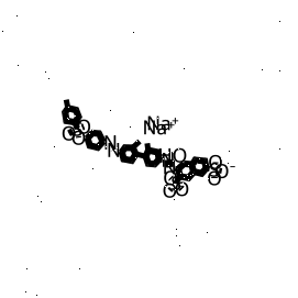 Cc1ccc(S(=O)(=O)Oc2ccc(N=Nc3ccc(-c4ccc(N=Nc5c(S(=O)(=O)[O-])cc6cc(S(=O)(=O)[O-])ccc6c5O)cc4C)c(C)c3)cc2)cc1.[Na+].[Na+]